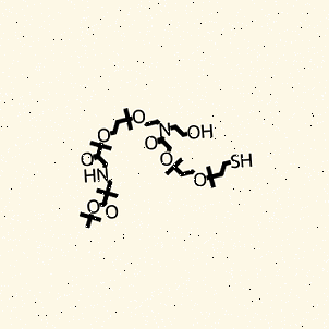 CC(C)(C)OC(=O)C(C)(C)CNCC(=O)C(C)(C)OCCC(C)(C)OCCN(CCO)C(=O)COC(C)(C)CCOC(C)(C)CCS